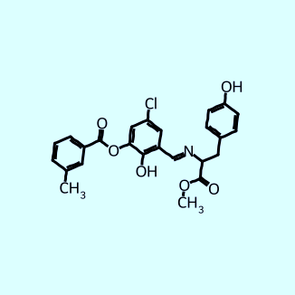 COC(=O)C(Cc1ccc(O)cc1)N=Cc1cc(Cl)cc(OC(=O)c2cccc(C)c2)c1O